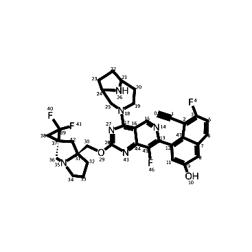 C#Cc1c(F)ccc2cc(O)cc(-c3ncc4c(N5CCC6CCC(C5)N6)nc(OC[C@@]56CCCN5C[C@@]5(CC5(F)F)C6)nc4c3F)c12